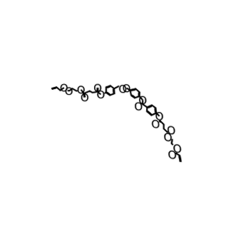 C=CCOOCCOC(=O)CCC(=O)Oc1ccc(COOc2ccc(OC(=O)c3ccc(OC(=O)CCC(=O)OCCOC(=O)C=C)cc3)cc2)cc1